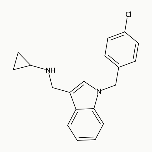 Clc1ccc(Cn2cc(CNC3CC3)c3ccccc32)cc1